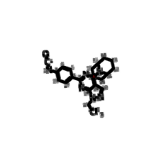 O=C=Nc1ccc(-c2nc(N3C4CCCC3COC4)c3cnn(CC(F)(F)F)c3n2)cc1